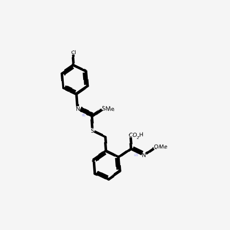 CO/N=C(\C(=O)O)c1ccccc1CS/C(=N/c1ccc(Cl)cc1)SC